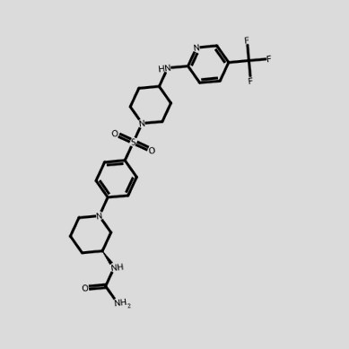 NC(=O)N[C@H]1CCCN(c2ccc(S(=O)(=O)N3CCC(Nc4ccc(C(F)(F)F)cn4)CC3)cc2)C1